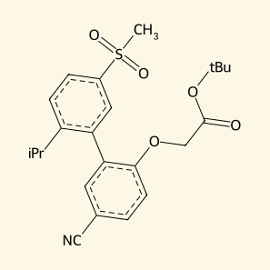 CC(C)c1ccc(S(C)(=O)=O)cc1-c1cc(C#N)ccc1OCC(=O)OC(C)(C)C